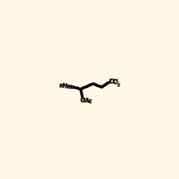 CCCCCCC(CCC(Cl)(Cl)Cl)OC(C)=O